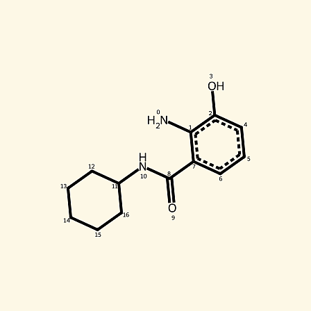 Nc1c(O)cccc1C(=O)NC1CCCCC1